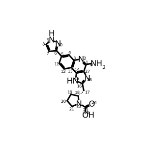 Nc1nc2cc(-c3cc[nH]n3)ccc2c2[nH]c(C[C@H]3CCCN3C(=O)O)nc12